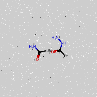 CC(C)(C)C(N)=O.CCC(=O)NN